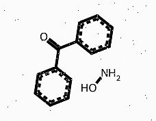 NO.O=C(c1ccccc1)c1ccccc1